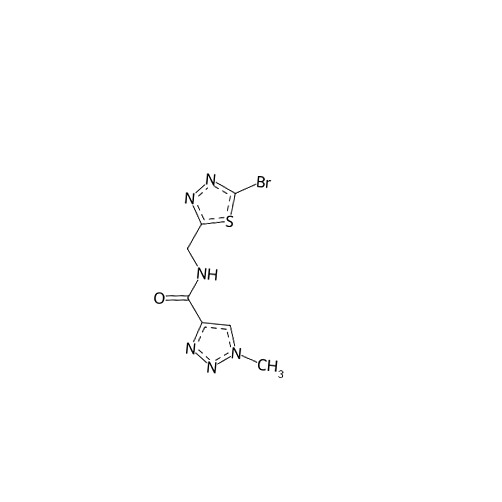 Cn1cc(C(=O)NCc2nnc(Br)s2)nn1